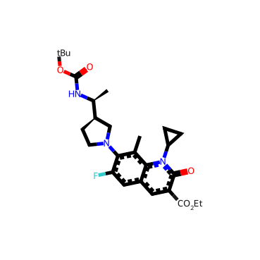 CCOC(=O)c1cc2cc(F)c(N3CC[C@@H]([C@H](C)NC(=O)OC(C)(C)C)C3)c(C)c2n(C2CC2)c1=O